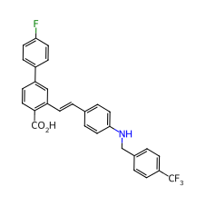 O=C(O)c1ccc(-c2ccc(F)cc2)cc1C=Cc1ccc(NCc2ccc(C(F)(F)F)cc2)cc1